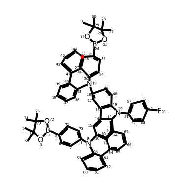 CC1(C)OB(c2ccc(N(c3ccc4c(c3)c3cc(N(c5ccc(B6OC(C)(C)C(C)(C)O6)cc5)c5ccccc5-c5ccccc5)ccc3n4-c3ccc(F)cc3)c3ccccc3-c3ccccc3)cc2)OC1(C)C